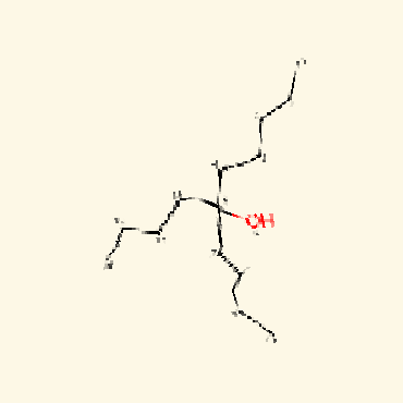 CCCC[CH]C(O)(CCCC)CCCC